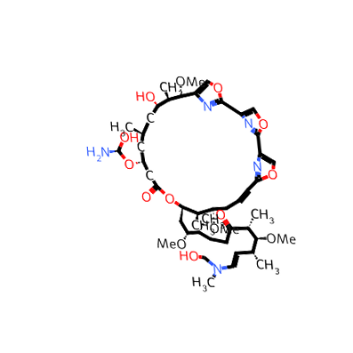 CO[C@@H]([C@H](C)/C=C/N(C)CO)[C@@H](C)C(=O)CC[C@@H](C)[C@@H](C[C@H]1OC(=O)C[C@H](O[C@@H](N)O)C[C@@H](C)C[C@H](O)[C@@H](C)[C@H](OC)c2coc(n2)-c2coc(n2)-c2coc(n2)/C=C/C[C@H](OC)[C@H]1C)OC